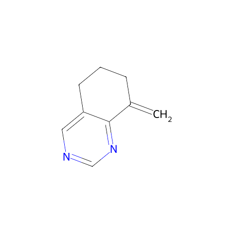 C=C1CCCc2cncnc21